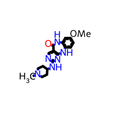 COc1ccc2c(c1)NC(=O)c1cnc(NC3CCN(C)CC3)nc1N2